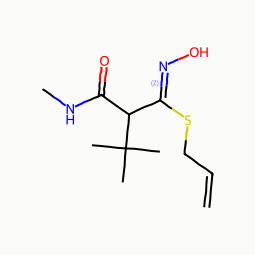 C=CCS/C(=N\O)C(C(=O)NC)C(C)(C)C